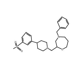 CS(=O)(=O)c1cccc(C2CCN(CC3CN(Cc4ccccc4)CCCO3)CC2)c1